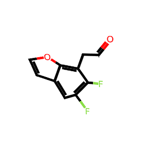 O=[C]Cc1c(F)c(F)cc2ccoc12